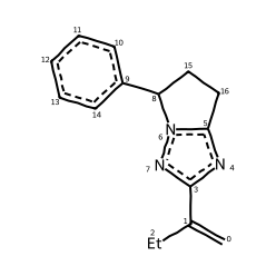 C=C(CC)c1nc2n(n1)C(c1ccccc1)CC2